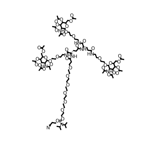 CC(=O)NC1C(OCCOCCNC(=O)CC[C@H](NC(=O)CC[C@H](NC(=O)CCOCCOCCOCCOCCOCCOCCOP(OCCC#N)N(C(C)C)C(C)C)C(=O)NCCOCCOC2OC(COC(C)=O)C(OC(C)=O)C(OC(C)=O)C2NC(C)=O)C(=O)NCCOCCOC2OC(COC(C)=O)C(OC(C)=O)C(OC(C)=O)C2NC(C)=O)OC(COC(C)=O)C(OC(C)=O)C1OC(C)=O